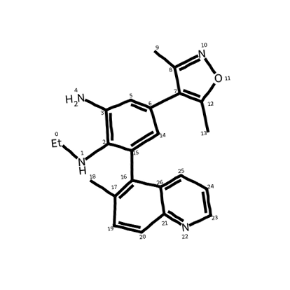 CCNc1c(N)cc(-c2c(C)noc2C)cc1-c1c(C)ccc2ncccc12